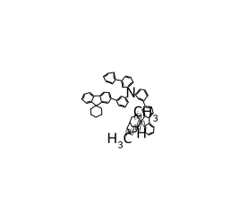 C[C@@H]1CC2C[C@@H](C1)[C@@]1(c3ccccc3-c3ccc(-c4cccc(N(c5cccc(-c6ccccc6)c5)c5cccc(-c6ccc7c(c6)C6(CCCCC6)c6ccccc6-7)c5)c4)cc31)[C@@H](C)C2